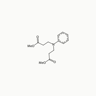 COC(=O)CCN(CCC(=O)OC)c1ccccc1